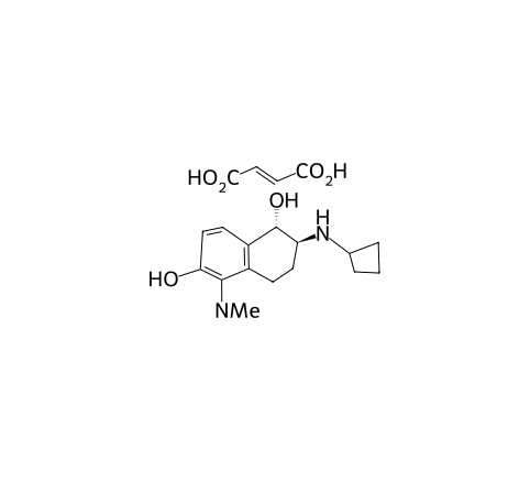 CNc1c(O)ccc2c1CC[C@H](NC1CCC1)[C@H]2O.O=C(O)/C=C/C(=O)O